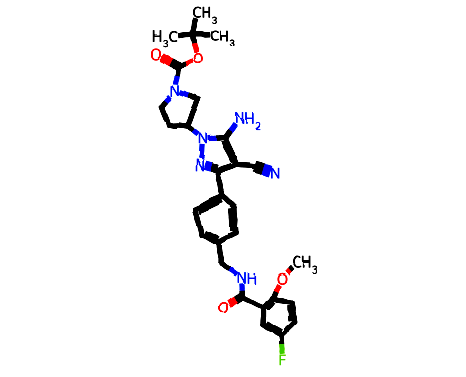 COc1ccc(F)cc1C(=O)NCc1ccc(-c2nn(C3CCN(C(=O)OC(C)(C)C)C3)c(N)c2C#N)cc1